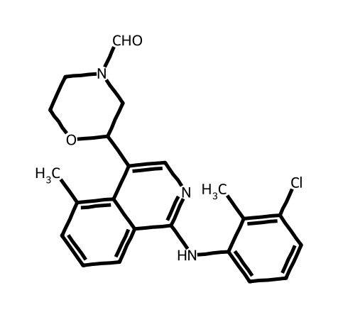 Cc1c(Cl)cccc1Nc1ncc(C2CN(C=O)CCO2)c2c(C)cccc12